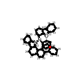 c1ccc(N(c2cccc3c2oc2ccccc23)n2c3ccccc3c3ccc4ccc5c6ccccc6ccc5c4c32)cc1